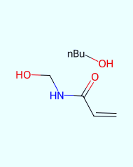 C=CC(=O)NCO.CCCCO